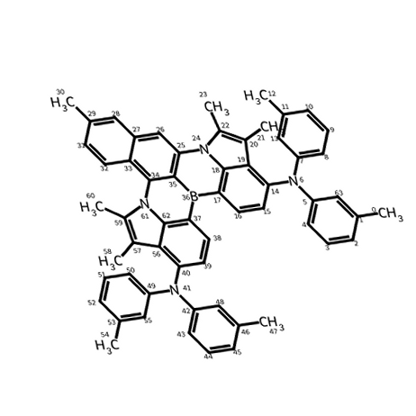 Cc1cccc(N(c2cccc(C)c2)c2ccc3c4c2c(C)c(C)n4-c2cc4cc(C)ccc4c4c2B3c2ccc(N(c3cccc(C)c3)c3cccc(C)c3)c3c(C)c(C)n-4c23)c1